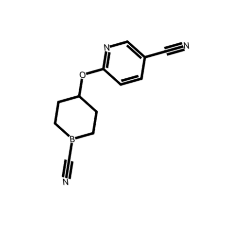 N#CB1CCC(Oc2ccc(C#N)cn2)CC1